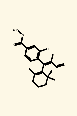 C=CC(C)=C(C1=C(C)CCCC1(C)C)c1ccc(C(=O)OCCC)cc1O